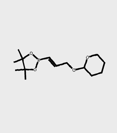 CC1(C)OB(C=CCOC2CCCCO2)OC1(C)C